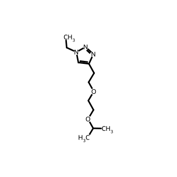 CCn1cc(CCOCCOC(C)C)nn1